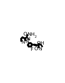 CN1CCC(O)(C#Cc2cc(-n3nc(C(N)=O)c4cccnc43)ccc2F)C1=O